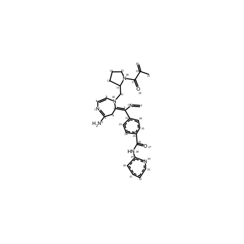 C=N/C(=C1/CC(N)=NC=CN1CC1CCCN1C(=O)C(=C)C)c1ccc(C(=O)Nc2ccccn2)cc1